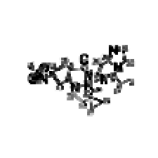 CC(C)c1nc(NC(=O)c2ccc(NS(C)(=O)=O)cc2N2CCC3(CC2)CC3)cc2nccn12